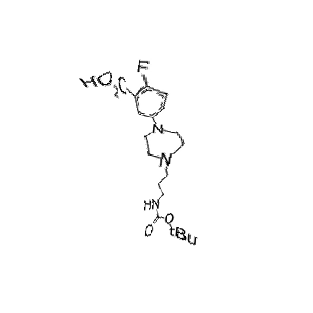 CC(C)(C)OC(=O)NCCCN1CCN(c2ccc(F)c(C(=O)O)c2)CC1